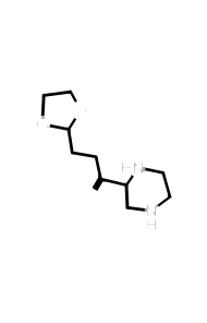 O=C(CCC1OCCO1)C1CNCCN1